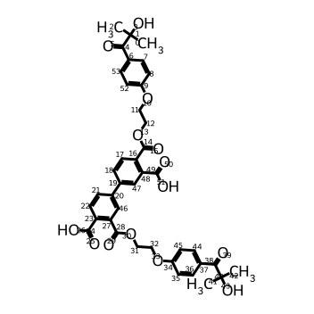 CC(C)(O)C(=O)c1ccc(OCCOC(=O)c2ccc(-c3ccc(C(=O)O)c(C(=O)OCCOc4ccc(C(=O)C(C)(C)O)cc4)c3)cc2C(=O)O)cc1